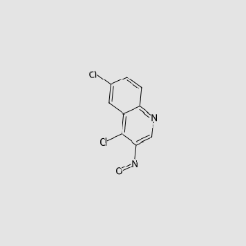 O=Nc1cnc2ccc(Cl)cc2c1Cl